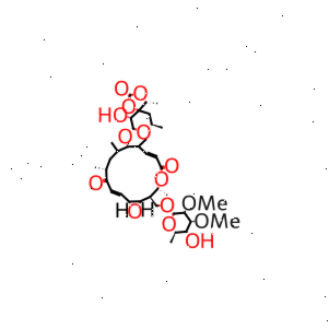 CO[C@@H]1[C@H](O)[C@@H](C)O[C@@H](OC[C@H]2[C@@H]3O[C@@H]3/C=C/C(=O)[C@H](C)CC(C)[C@H](O[C@@H]3O[C@H](C)CC4(OC(=O)O[C@@H]4C)[C@H]3O)C(C)/C=C/C(=O)O[C@@H]2C)[C@@H]1OC